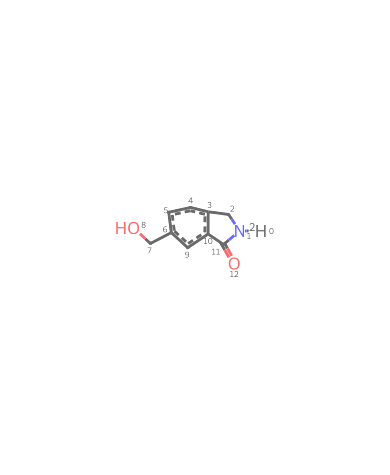 [2H]N1Cc2ccc(CO)cc2C1=O